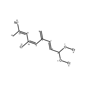 C=C(/C=C/C(OCC)OCC)/C=C(Cl)\C=C(/C)C#N